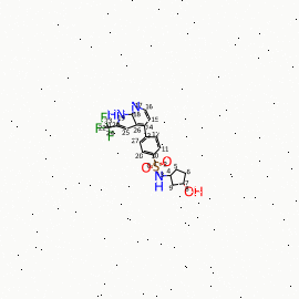 O=S(=O)(NC1CCC(O)C1)c1ccc(-c2ccnc3[nH]c(C(F)(F)F)cc23)cc1